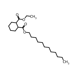 CCCCCCCCCCCCOC(=O)C1CCCCC1C(=O)OCC